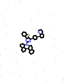 c1ccc2c3c(ccc2c1)N(c1nc(-c2ccc(-c4cccc5cccnc45)cc2)c2sc4ccccc4c2n1)c1cccc2cccc-3c12